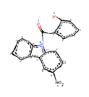 O=C(c1ccccc1Br)n1c2ccccc2c2cc([N+](=O)[O-])ccc21